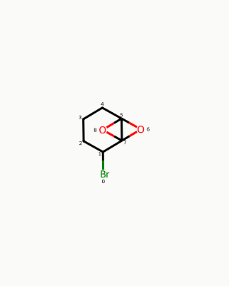 BrC1CCCC23OC12O3